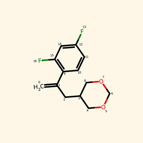 C=C(CC1COCOC1)c1ccc(F)cc1F